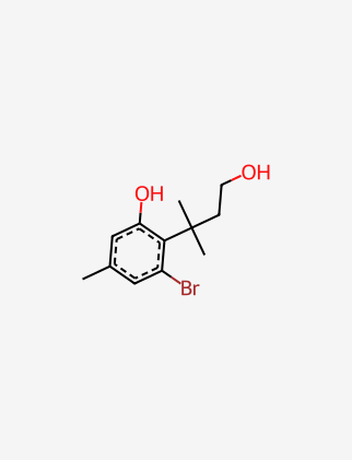 Cc1cc(O)c(C(C)(C)CCO)c(Br)c1